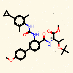 COC(=O)[C@@H](NC(=O)c1ccc(-c2ccc(OC)cc2)cc1NC(=O)Nc1c(C)cc(C2CC2)cc1C)C(C)OC(C)(C)C